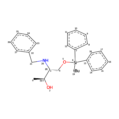 C[C@H](O)[C@@H](CO[Si](c1ccccc1)(c1ccccc1)C(C)(C)C)NCc1ccccc1